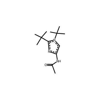 CC(=O)Nc1cn(C(C)(C)C)c(C(C)(C)C)n1